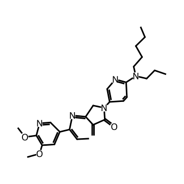 C=C1C(=O)N(c2ccc(N(CCC)CCCCC)nc2)C/C1=N/C(=C\C)c1cnc(OC)c(OC)c1